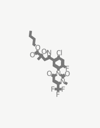 CCCCOC(=O)C1(C)CC(c2cc(-n3c(=O)cc(C(F)(F)F)n(C)c3=O)c(F)cc2Cl)=NO1